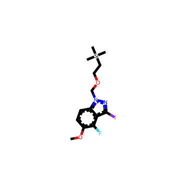 COc1ccc2c(c(I)nn2COCC[Si](C)(C)C)c1F